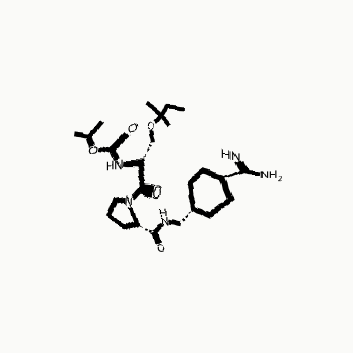 CCC(C)(C)OC[C@@H](NC(=O)OC(C)C)C(=O)N1CCC[C@H]1C(=O)NC[C@H]1CC[C@H](C(=N)N)CC1